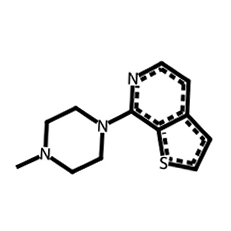 CN1CCN(c2nccc3ccsc23)CC1